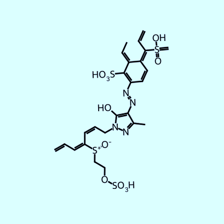 C=C/C=C(\C=C/Cn1nc(C)c(/N=N/c2ccc(=C(/C=C)S(=C)(=O)O)/c(=C\C)c2S(=O)(=O)O)c1O)[S+]([O-])CCOS(=O)(=O)O